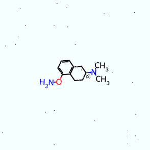 CN(C)[C@H]1CCc2c(cccc2ON)C1